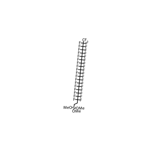 CO[Si](CCC(F)(F)C(F)(F)C(F)(F)C(F)(F)C(F)(F)C(F)(F)C(F)(F)C(F)(F)C(F)(F)C(F)(F)C(F)(F)C(F)(F)C(F)(F)C(F)(F)C(F)(F)C(F)(F)C(F)(F)C(F)(F)C(F)(F)F)(OC)OC